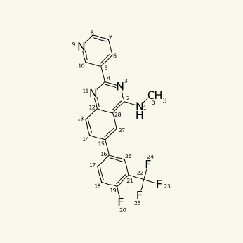 CNc1nc(-c2cccnc2)nc2ccc(-c3ccc(F)c(C(F)(F)F)c3)cc12